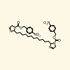 O=C(OCc1ccc([N+](=O)[O-])cc1)N1CC=NC1CCCCCCCCCCCCC1N=CCN1C(=O)OCc1ccc([N+](=O)[O-])cc1